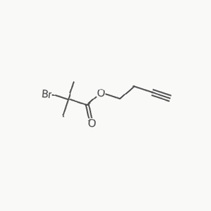 C#CCCOC(=O)C(C)(C)Br